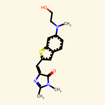 CC1=N/C(=C/c2cc3ccc(N(C)CCO)cc3s2)C(=O)N1C